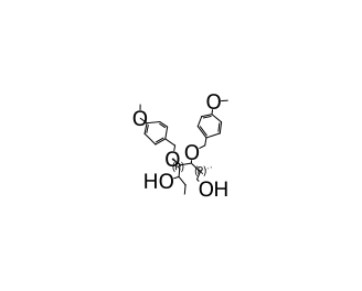 CCC(O)[C@@H](OCc1ccc(OC)cc1)C(OCc1ccc(OC)cc1)[C@H](C)CO